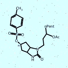 CCCCCC(CCN1C(=O)NC2C[C@@H](OS(=O)(=O)c3ccc(C)cc3)CC21)OC(C)=O